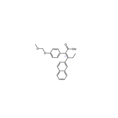 CC/C(=C(\C(=O)O)c1ccc(OCOC)cc1)c1ccc2ccccc2c1